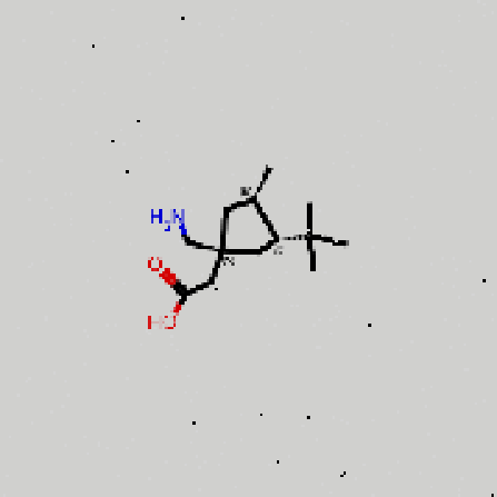 C[C@@H]1C[C@@](CN)(CC(=O)O)C[C@H]1C(C)(C)C